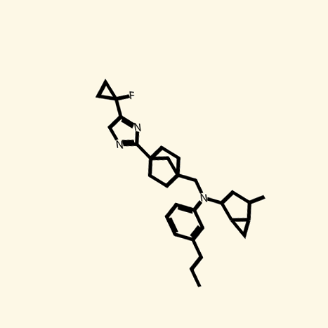 CCCc1cccc(N(CC23CCC(C4=NCC(C5(F)CC5)=N4)(CC2)C3)C2CC(C)C3CC32)c1